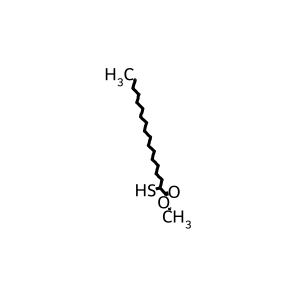 CCCCCCCCCCCCCCCCC(S)C(=O)OCC